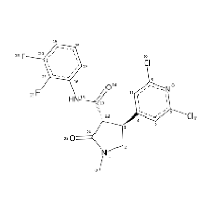 CN1C[C@H](c2cc(Cl)nc(Cl)c2)[C@@H](C(=O)Nc2cccc(F)c2F)C1=O